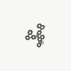 c1ccc(-c2ccccc2-c2ccc(N(c3ccc(-c4cccc5ccccc45)cc3)c3cc4c5ccccc5oc4c4ccccc34)cc2)cc1